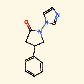 O=C1CC(c2ccccc2)CN1n1ccnc1